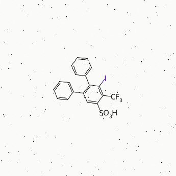 O=S(=O)(O)c1cc(-c2ccccc2)c(-c2ccccc2)c(I)c1C(F)(F)F